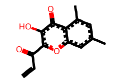 C=CC(=O)c1oc2cc(C)cc(C)c2c(=O)c1O